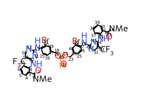 CNC(=O)c1ccccc1Nc1nc(Nc2ccc(CO[PH](=O)OCc3ccc(Nc4ncc(C(F)(F)F)c(Nc5ccccc5C(=O)NC)n4)c(Br)c3)cc2Br)ncc1C(F)(F)F